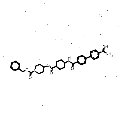 N=C(N)c1ccc(-c2ccc(C(=O)NC3CCC(C(=O)OC4CCN(C(=O)OCc5ccccc5)CC4)CC3)cc2)cc1